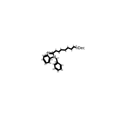 CCCCCCCCCCCCCCCCCc1nc2ccccc2n1Cc1ccccc1